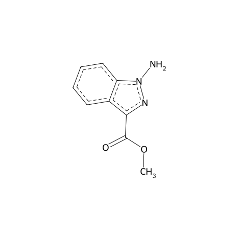 COC(=O)c1nn(N)c2ccccc12